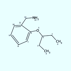 CCC(CC)Oc1ccccc1CN